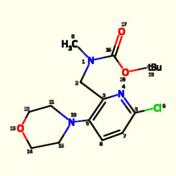 CN(Cc1nc(Cl)ccc1N1CCOCC1)C(=O)OC(C)(C)C